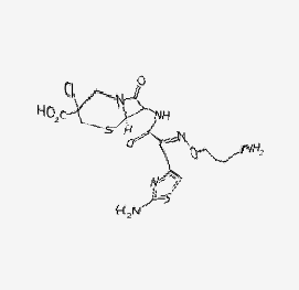 NCCON=C(C(=O)NC1C(=O)N2CC(Cl)(C(=O)O)CS[C@H]12)c1csc(N)n1